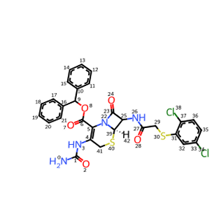 NC(=O)NC1=C(C(=O)OC(c2ccccc2)c2ccccc2)N2C(=O)C(NC(=O)CSc3cc(Cl)ccc3Cl)[C@H]2SC1